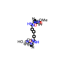 COC(=O)N[C@H](C(=O)N1[C@H](c2nc(-c3ccc4cc(-c5ccc(-c6c[nH]c([C@@H]7C[C@@H]8C[C@@H]8N7C(=O)[C@H](C(C)C)N(C)C(=O)O)n6)cc5)ccc4c3)c[nH]2)C[C@H]2C[C@@H]21)C(C)C